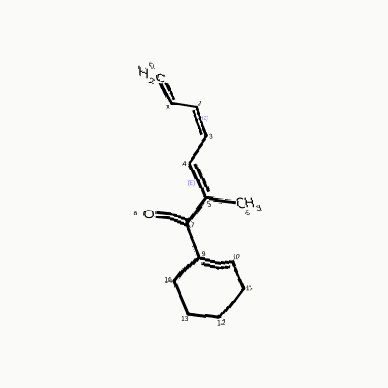 C=C/C=C\C=C(/C)C(=O)C1=CCCCC1